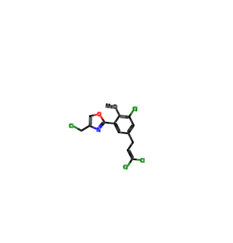 COc1c(Cl)cc(CC=C(Cl)Cl)cc1-c1nc(CCl)co1